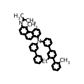 CCc1cc(-c2cccc(N(c3cccc(-c4ccccc4)c3)c3cccc4c3ccc3ccc(N=C(C)C)c(C)c34)c2)ccc1-c1ccccc1C